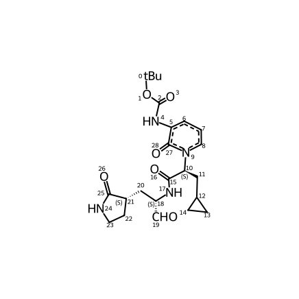 CC(C)(C)OC(=O)Nc1cccn([C@@H](CC2CC2)C(=O)N[C@H](C=O)C[C@@H]2CCNC2=O)c1=O